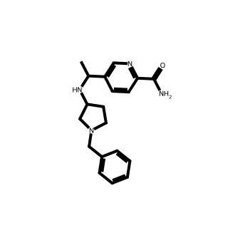 CC(NC1CCN(Cc2ccccc2)C1)c1ccc(C(N)=O)nc1